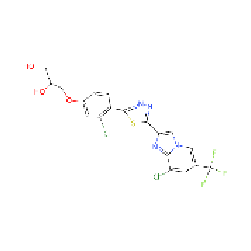 OCC(O)COc1ccc(-c2nnc(-c3cn4cc(C(F)(F)F)cc(Cl)c4n3)s2)c(Cl)c1